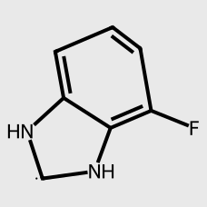 Fc1cccc2c1N[CH]N2